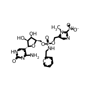 Cn1c(COP(=O)(NCc2ccccc2)OC[C@H]2O[C@H](c3c[nH]c(=O)nc3N)[C@@H](O)[C@@H]2O)cnc1[N+](=O)[O-]